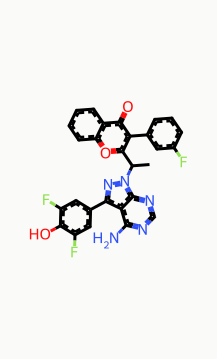 CC(c1oc2ccccc2c(=O)c1-c1cccc(F)c1)n1nc(-c2cc(F)c(O)c(F)c2)c2c(N)ncnc21